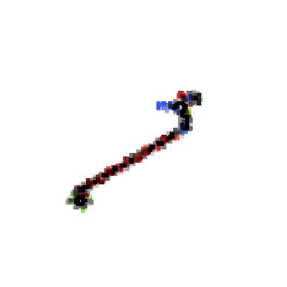 CCCN(OCC)C(=O)C1=Cc2sc(CC3CN(CCOCCOCCOCCOCCOCCOCCOCCOCCOCCOCCC(=O)Oc4c(F)c(F)cc(F)c4F)C3)cc2N=C(N)C1